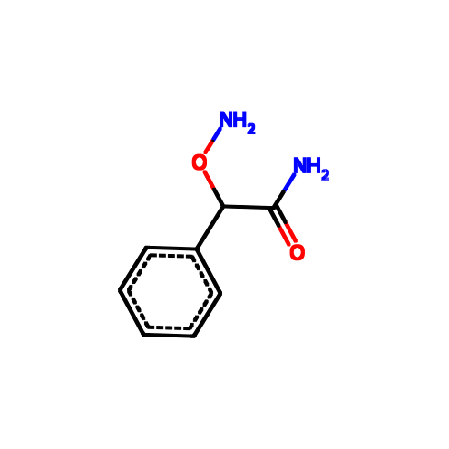 NOC(C(N)=O)c1ccccc1